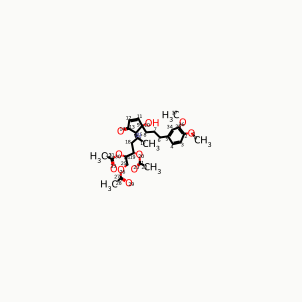 COc1ccc(CCCC2(O)C=CC(=O)/C2=C(/C)CC(OC(C)=O)C(COC(C)=O)OC(C)=O)cc1OC